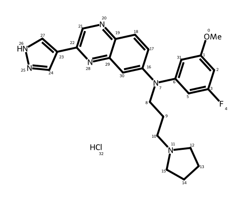 COc1cc(F)cc(N(CCCN2CCCC2)c2ccc3ncc(-c4cn[nH]c4)nc3c2)c1.Cl